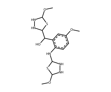 COc1ccc(NC2NNC(OC)S2)c(C(O)C2NNC(OC)S2)c1